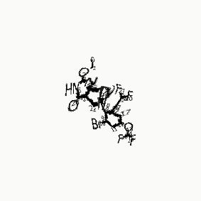 CCOc1nc2nn(-c3c(Br)cc(OC(F)F)cc3C(F)F)cc2c(=O)[nH]1